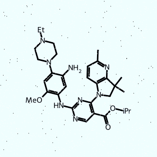 CCN1CCN(c2cc(OC)c(Nc3ncc(C(=O)OC(C)C)c(N4CC(C)(C)c5nc(C)ccc54)n3)cc2N)CC1